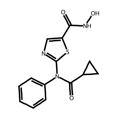 O=C(NO)c1cnc(N(C(=O)C2CC2)c2ccccc2)s1